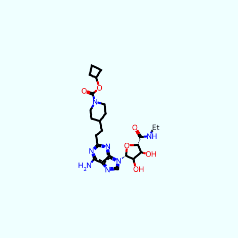 CCNC(=O)[C@H]1O[C@@H](n2cnc3c(N)nc(CCC4CCN(C(=O)OC5CCC5)CC4)nc32)C(O)C1O